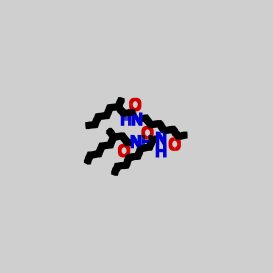 CCCCCC(C)CC(=O)NCCCC(CC(C)=O)NC(=O)CC(CCCCC)NC(=O)CC(C)CCCCC